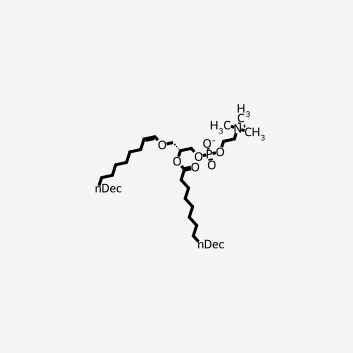 CCCCCCCCCCCCCCCC/C=C\OC[C@H](COP(=O)([O-])OCC[N+](C)(C)C)OC(=O)CCCCCCCCCCCCCCCCC